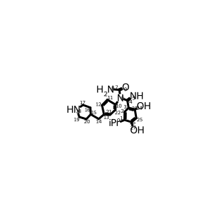 CC(C)c1cc(C(=N)N(C(N)=O)c2ccc(CC3CCNCC3)cc2)c(O)cc1O